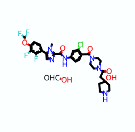 Cn1c(-c2ccc(OC(F)F)c(F)c2F)cnc1C(=O)Nc1ccc(C(=O)N2CCN(C(=O)CC3(O)CCNCC3)CC2)c(Cl)c1.O=CO